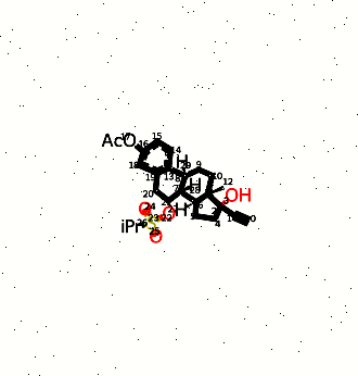 C#C[C@]1(O)CC[C@H]2[C@H]3[C@H](CC[C@@]21C)c1ccc(OC(C)=O)cc1C[C@H]3OS(=O)(=O)C(C)C